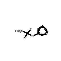 CCOC(=O)C(F)(F)Oc1cccnc1